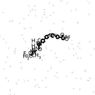 Cc1cc(-c2ccc(CN3CCN(c4ccc(C5CCC(=O)NC5=O)cc4)CC3)cc2)ccc1-n1cc(C(=O)NCc2nc(C(C)(C)C(F)(F)F)n[nH]2)cn1